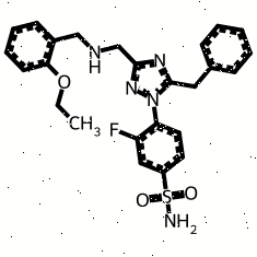 CCOc1ccccc1CNCc1nc(Cc2ccccc2)n(-c2ccc(S(N)(=O)=O)cc2F)n1